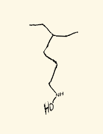 CCC(C)CCCNO